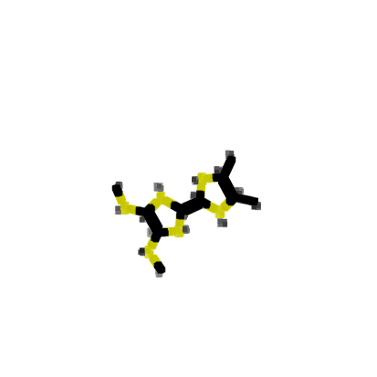 CSC1=C(SC)SC(=C2SC(C)=C(C)S2)S1